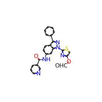 O=COc1csc(-n2nc(-c3ccccc3)c3ccc(NC(=O)c4cccnc4)cc32)n1